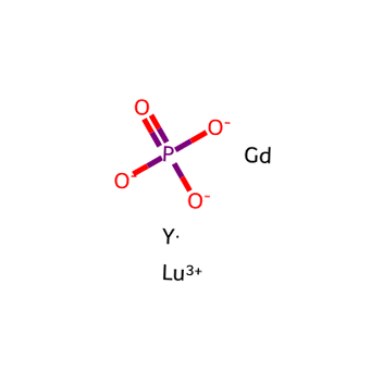 O=P([O-])([O-])[O-].[Gd].[Lu+3].[Y]